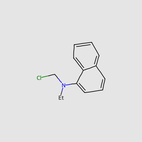 CCN(CCl)c1cccc2ccccc12